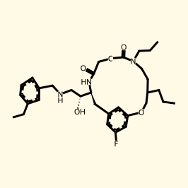 CCCC1CCN(CCC)C(=O)CCC(=O)N[C@H]([C@H](O)CNCc2cccc(CC)c2)Cc2cc(F)cc(c2)OC1